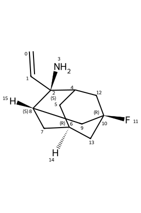 C=C[C@]1(N)C2C[C@@H]3C[C@H]1C[C@](F)(C2)C3